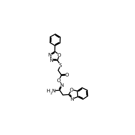 NC(Cc1nc2ccccc2o1)=NOC(=O)CSc1nnc(-c2ccccc2)o1